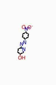 O=[N+]([O-])c1ccc(/N=N/c2ccc(O)cn2)cc1